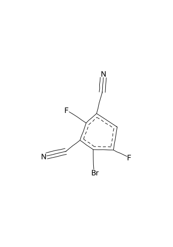 N#Cc1cc(F)c(Br)c(C#N)c1F